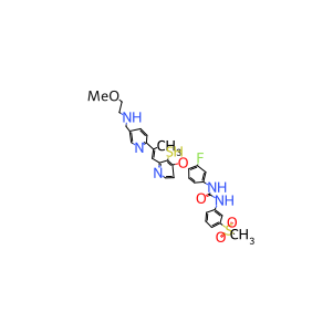 COCCNCc1ccc(/C(C)=C/c2nccc(Oc3ccc(NC(=O)Nc4cccc(S(C)(=O)=O)c4)cc3F)c2S)nc1